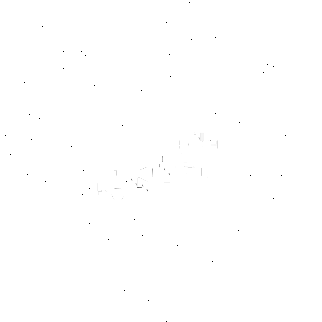 CCOc1ccc(Cc2nc3cc(C(=O)NCCC(C)(C)OCCC(C)(C)N)ccc3n2CCC(C)C)cc1